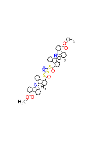 CCOC(=O)c1cccc2c1-c1ccccc1C2=NC1(C)c2ccccc2-c2c(C(=O)Sc3nnc(SC(=O)c4cccc5c4-c4ccccc4C5(C)/N=C4\c5ccccc5-c5c(C(=O)OCC)cccc54)s3)cccc21